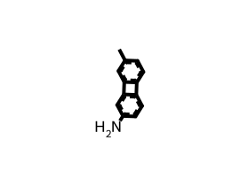 Cc1ccc2c(c1)-c1cc(N)ccc1-2